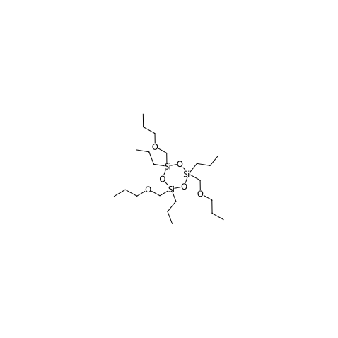 CCCOC[Si]1(CCC)O[Si](CCC)(COCCC)O[Si](CCC)(COCCC)O1